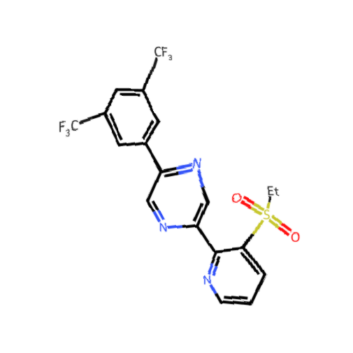 CCS(=O)(=O)c1cccnc1-c1cnc(-c2cc(C(F)(F)F)cc(C(F)(F)F)c2)cn1